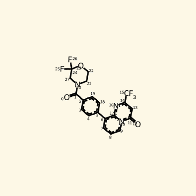 O=C(c1ccc(-c2cccn3c(=O)cc(C(F)(F)F)nc23)cc1)N1CCOC(F)(F)C1